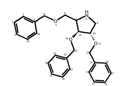 c1ccc(COCC2NC[C@H](OCc3ccccc3)[C@H]2OCc2ccccc2)cc1